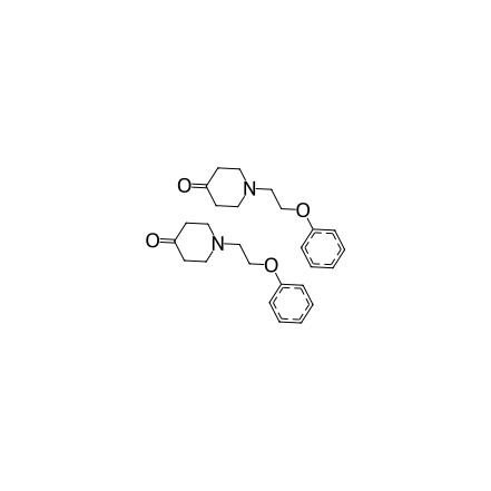 O=C1CCN(CCOc2ccccc2)CC1.O=C1CCN(CCOc2ccccc2)CC1